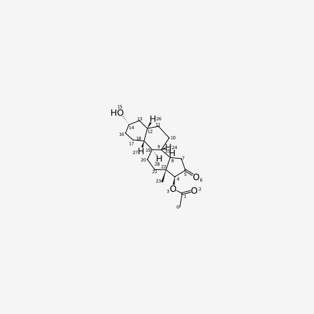 CC(=O)O[C@@H]1C(=O)C[C@@H]2[C@H]3CC[C@H]4C[C@@H](O)CC[C@H]4[C@@H]3CC[C@@]12C